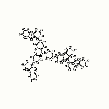 c1ccc2c(c1)oc1c(-c3ccc(N(c4ccc(-c5ccc6c(c5)c5ccccc5n6-c5cccc6c5oc5ccccc56)cc4)c4ccc(-c5cccc6c5oc5ccccc56)cc4)cc3)cccc12